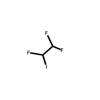 F[C](F)C(F)I